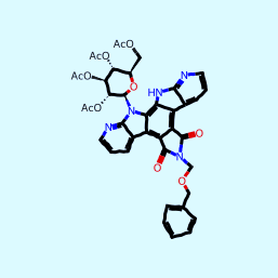 CC(=O)OC[C@H]1O[C@@H](n2c3ncccc3c3c4c(c5c6cccnc6[nH]c5c32)C(=O)N(COCc2ccccc2)C4=O)[C@H](OC(C)=O)[C@@H](OC(C)=O)[C@@H]1OC(C)=O